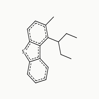 CCC(CC)c1c(C)ccc2sc3ccccc3c12